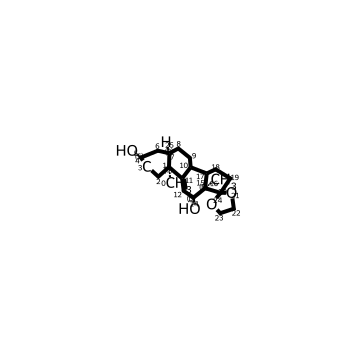 C[C@]12CC[C@H](O)C[C@H]1CCC1C2=C[C@H](O)[C@@]2(C)C1CCC21OCCO1